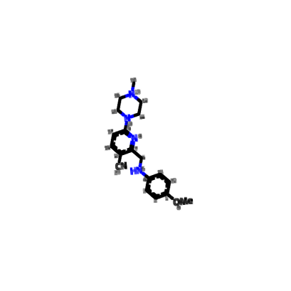 COc1ccc(NCc2nc(N3CCN(C)CC3)ccc2C#N)cc1